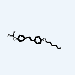 CCCCCCOc1ccc(C=Cc2ccc(OC(F)F)cc2)cc1